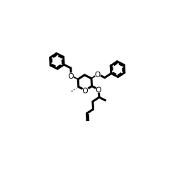 C=CCCC(C)OC1O[C@H](C)[C@@H](OCc2ccccc2)C[C@H]1OCc1ccccc1